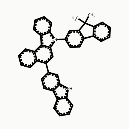 CC1(C)c2ccccc2-c2ccc(-n3c4ccccc4c4c5ccccc5c(-c5ccc6c(c5)[nH]c5ccccc56)cc43)cc21